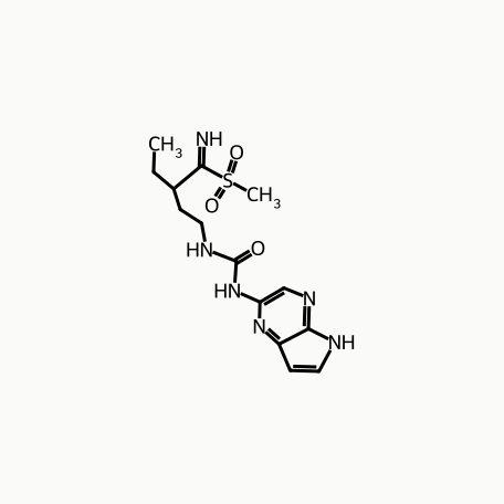 CCC(CCNC(=O)Nc1cnc2[nH]ccc2n1)C(=N)S(C)(=O)=O